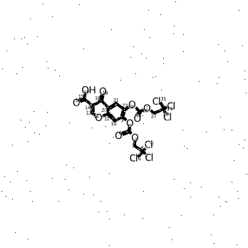 O=C(OCC(Cl)(Cl)Cl)Oc1cc2occ(C(=O)O)c(=O)c2cc1OC(=O)OCC(Cl)(Cl)Cl